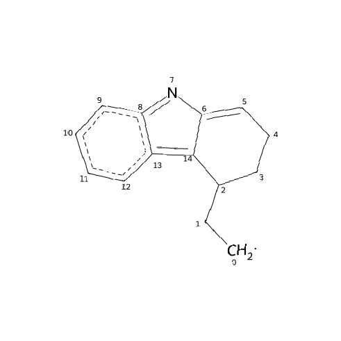 [CH2]CC1CCC=C2N=c3ccccc3=C21